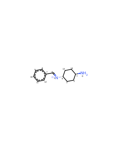 N[C@H]1CC[C@H](/N=C/c2ccccc2)CC1